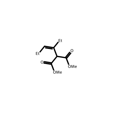 CCC=C(CC)C(C(=O)OC)C(=O)OC